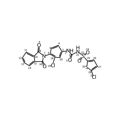 O=C(Nc1ccc(N2C(=O)c3ccccc3C2=O)c(Cl)c1)NS(=O)(=O)c1ccc(Cl)s1